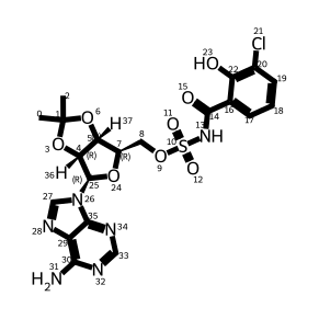 CC1(C)O[C@@H]2[C@H](O1)[C@@H](COS(=O)(=O)NC(=O)c1cccc(Cl)c1O)O[C@H]2n1cnc2c(N)ncnc21